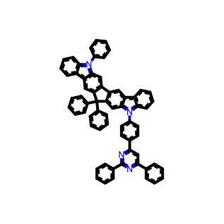 c1ccc(-c2cc(-c3ccc(-n4c5ccccc5c5cc6c(cc54)C(c4ccccc4)(c4ccccc4)c4cc5c7ccccc7n(-c7ccccc7)c5cc4-6)cc3)nc(-c3ccccc3)n2)cc1